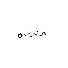 O=c1c(N2CCN(CCc3ccccc3)CC2)nccn1Cc1ccc(Cl)s1